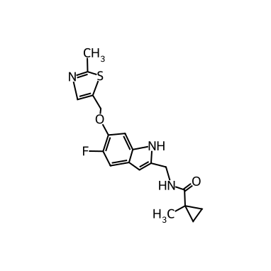 Cc1ncc(COc2cc3[nH]c(CNC(=O)C4(C)CC4)cc3cc2F)s1